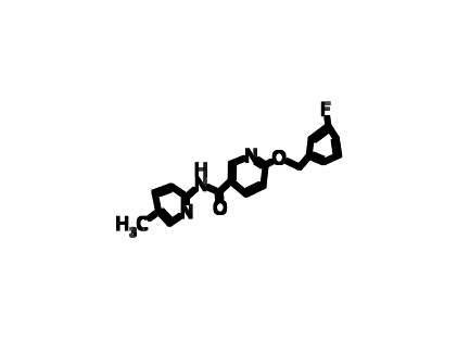 Cc1ccc(NC(=O)c2ccc(OCc3cccc(F)c3)nc2)nc1